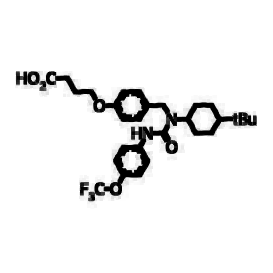 CC(C)(C)C1CCC(N(Cc2ccc(OCCCC(=O)O)cc2)C(=O)Nc2ccc(OC(F)(F)F)cc2)CC1